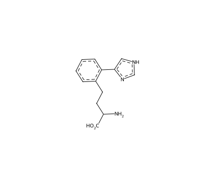 NC(CCc1ccccc1-c1c[nH]cn1)C(=O)O